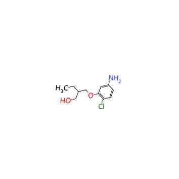 CCC(CO)COc1cc(N)ccc1Cl